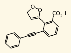 O=C(O)c1cccc(C#Cc2ccccc2)c1C1=CCOO1